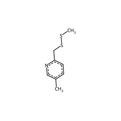 CSSCc1ccc(C)cn1